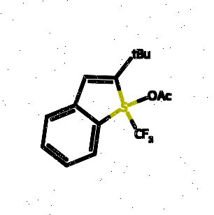 CC(=O)OS1(C(F)(F)F)C(C(C)(C)C)=Cc2ccccc21